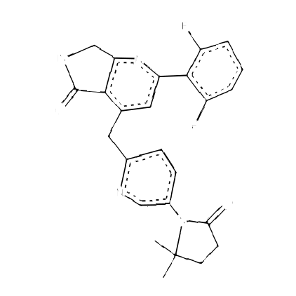 CC1(C)CCC(=O)N1c1ccc(Cc2cc(-c3c(F)cccc3F)nc3c2C(=O)NC3)nc1